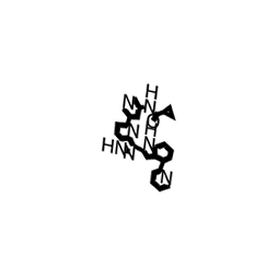 O=C(Nc1cncc(-c2ccc3[nH]nc(-c4cc5c(-c6ccccn6)cccc5[nH]4)c3n2)c1)C1CC1